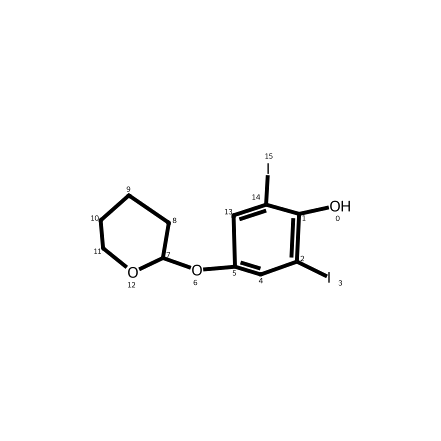 Oc1c(I)cc(OC2CCCCO2)cc1I